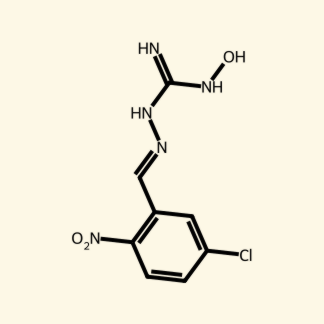 N=C(NO)NN=Cc1cc(Cl)ccc1[N+](=O)[O-]